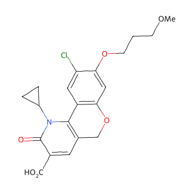 COCCCOc1cc2c(cc1Cl)-c1c(cc(C(=O)O)c(=O)n1C1CC1)CO2